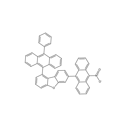 O=[N+]([O-])c1c2ccccc2c(-c2ccc3c(c2)oc2cccc(-c4c5ccccc5c(-c5ccccc5)c5ccccc45)c23)c2ccccc12